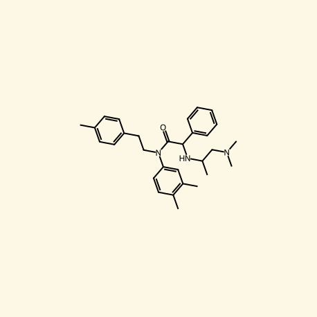 Cc1ccc(CCN(C(=O)C(NC(C)CN(C)C)c2ccccc2)c2ccc(C)c(C)c2)cc1